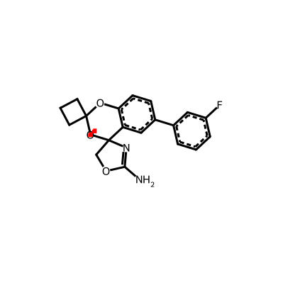 NC1=NC2(CO1)c1cc(-c3cccc(F)c3)ccc1OC1(CCC1)C21COC1